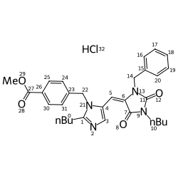 CCCCc1ncc(C=C2C(=O)N(CCCC)C(=O)N2Cc2ccccc2)n1Cc1ccc(C(=O)OC)cc1.Cl